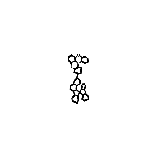 c1ccc2c(c1)Oc1cccc3c1B2c1ccc(-c2ccc4c5c(ccc4c2)-c2ccccc2C52c4ccccc4-c4ccccc42)cc1O3